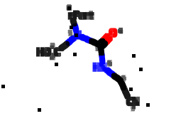 CCCCCN(C(=O)O)C(=O)NCC#N